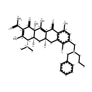 CCCN(Cc1ccccc1)Cc1cc(O)c2c(c1F)C[C@H]1C[C@H]3[C@H](N(C)C)C(O)=C(C(N)=O)C(=O)[C@@]3(O)C(O)=C1C2=O